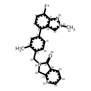 Cc1cc(-c2ccc(F)c3nn(C)cc23)ccc1CN1Cc2ncccc2C1=O